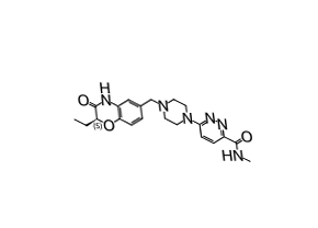 CC[C@@H]1Oc2ccc(CN3CCN(c4ccc(C(=O)NC)nn4)CC3)cc2NC1=O